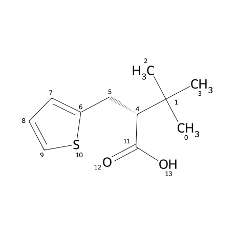 CC(C)(C)[C@@H](Cc1cccs1)C(=O)O